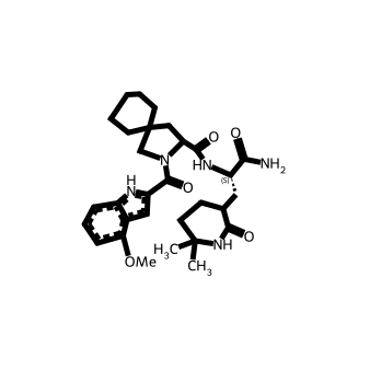 COc1cccc2[nH]c(C(=O)N3CC4(CCCCC4)CC3C(=O)N[C@@H](CC3CCC(C)(C)NC3=O)C(N)=O)cc12